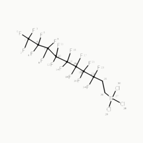 FC(F)(F)C(F)(F)C(F)(F)C(F)(F)C(F)(F)C(F)(F)C(F)(F)C(F)(F)C[CH2][Ti]([Cl])([Cl])[Cl]